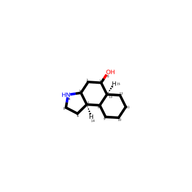 OC1CC2NCC[C@@H]2C2CCCC[C@H]12